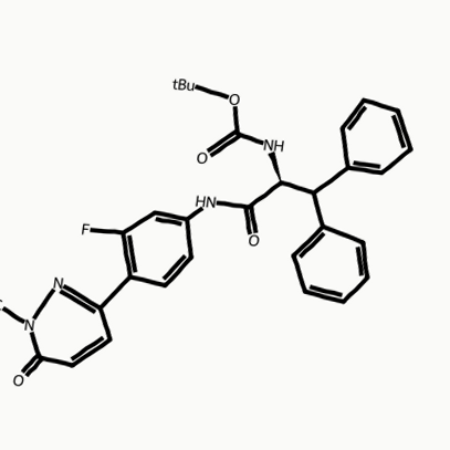 Cn1nc(-c2ccc(NC(=O)[C@@H](NC(=O)OC(C)(C)C)C(c3ccccc3)c3ccccc3)cc2F)ccc1=O